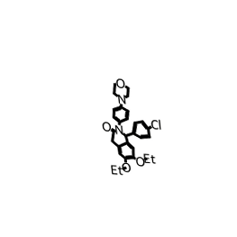 CCOc1cc2c(cc1OCC)C(c1ccc(Cl)cc1)N(c1ccc(N3CCOCC3)cc1)C(=O)C2